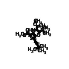 COC(=O)c1sc(C#CC(C)(C)C)cc1N[C@@H](C(=O)N(C)C)[C@@H](C)OC